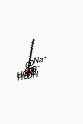 CCCCCCCCCCCCCCCCCC(=O)OCCCO[C@@H]1O[C@H](CS(=O)(=O)[O-])[C@@H](O)[C@H](O)[C@H]1O.[Na+]